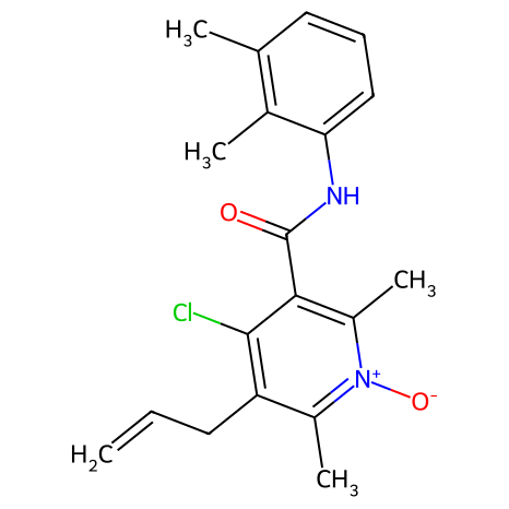 C=CCc1c(Cl)c(C(=O)Nc2cccc(C)c2C)c(C)[n+]([O-])c1C